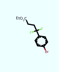 CCOC(=O)CCC(F)(F)c1ccc(Br)cc1